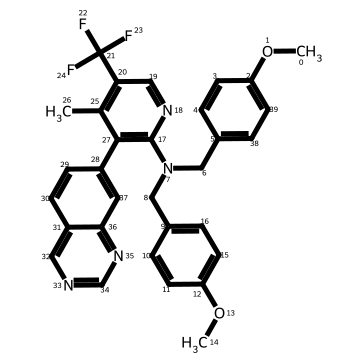 COc1ccc(CN(Cc2ccc(OC)cc2)c2ncc(C(F)(F)F)c(C)c2-c2ccc3cncnc3c2)cc1